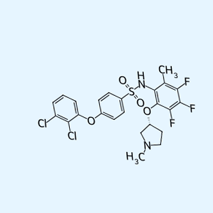 Cc1c(F)c(F)c(F)c(O[C@@H]2CCN(C)C2)c1NS(=O)(=O)c1ccc(Oc2cccc(Cl)c2Cl)cc1